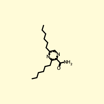 CCCCCCc1cnc(C(N)=O)c(CCCCCC)n1